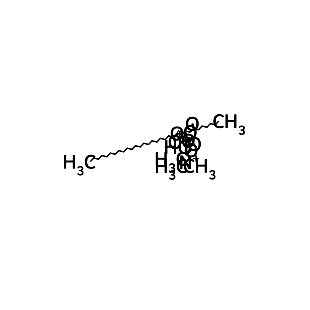 CCCCCCCCCCCCCCCCCCCCC(=O)O[C@H](COC(=O)CCCCCC)COP(=O)(O)OCC[N+](C)(C)C